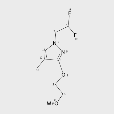 COCCOc1nn(CC(F)F)cc1C